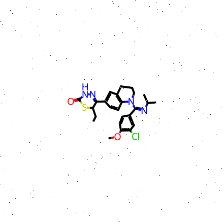 CCC1SC(=O)NN=C1c1ccc2c(c1)CCCN2/C(=N\C(C)C)c1ccc(OC)c(Cl)c1